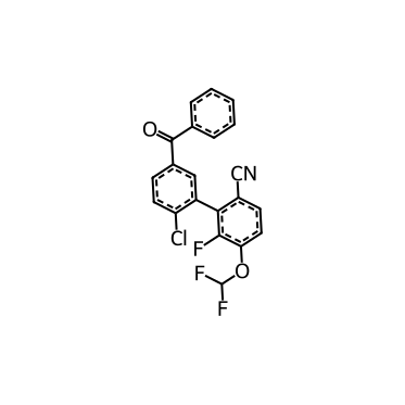 N#Cc1ccc(OC(F)F)c(F)c1-c1cc(C(=O)c2ccccc2)ccc1Cl